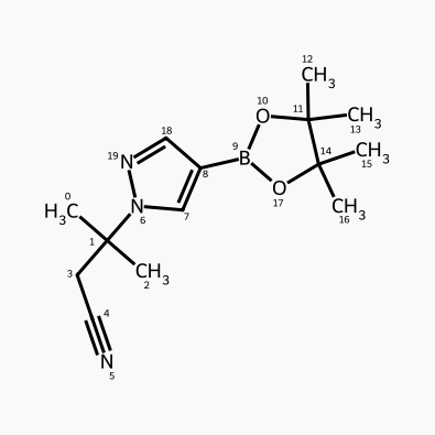 CC(C)(CC#N)n1cc(B2OC(C)(C)C(C)(C)O2)cn1